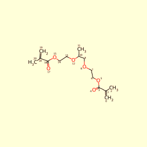 C=C(C)C(=O)OCCOCC(C)OCCOC(=O)C(=C)C